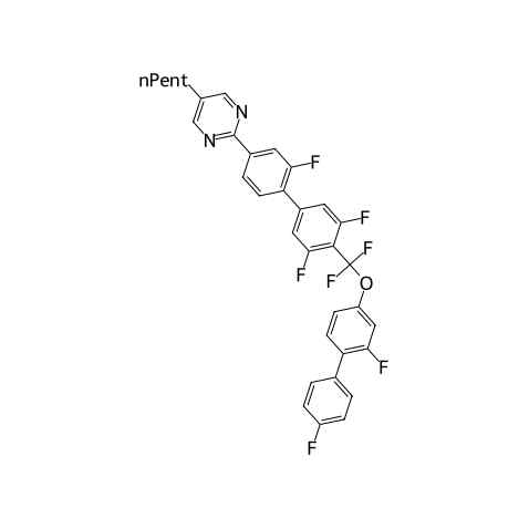 CCCCCc1cnc(-c2ccc(-c3cc(F)c(C(F)(F)Oc4ccc(-c5ccc(F)cc5)c(F)c4)c(F)c3)c(F)c2)nc1